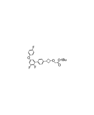 CC(C)(C)OC(=O)COC1CC(c2ccc(-c3cc(Oc4ccc(F)cc4)cc(F)c3F)cc2)C1